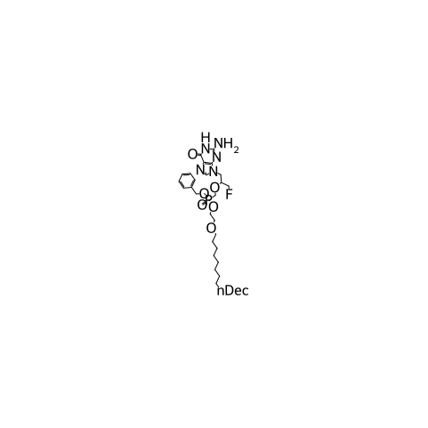 CCCCCCCCCCCCCCCCCCOCCOP(=O)(COC(CF)Cn1cnc2c(=O)[nH]c(N)nc21)OCc1ccccc1